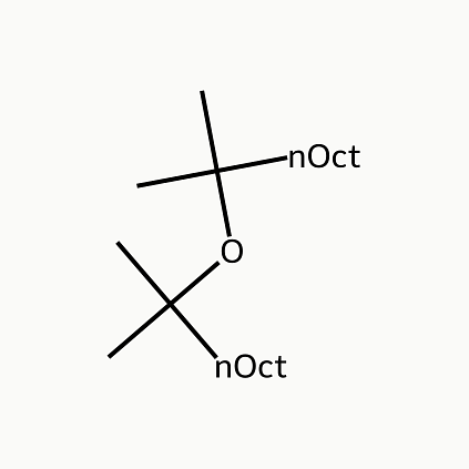 CCCCCCCCC(C)(C)OC(C)(C)CCCCCCCC